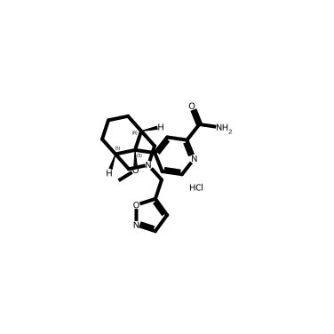 CO[C@]1(c2ccnc(C(N)=O)c2)[C@@H]2CCC[C@H]1CN(Cc1ccno1)C2.Cl